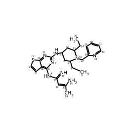 CCC1CC(Nc2nc(NC(=N)/C=C(/C)N)c3ccsc3n2)CC(CC)N1Cc1ccccn1